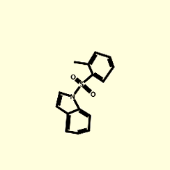 Cc1ccccc1S(=O)(=O)n1ccc2ccccc21